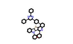 c1ccc(-c2cc(-c3ccc(-c4cccc5nc(-c6ccccc6)c6c(c45)SC4c5ccccc5N(c5ccccc5)C64)cc3)nc(-c3ccccc3)n2)cc1